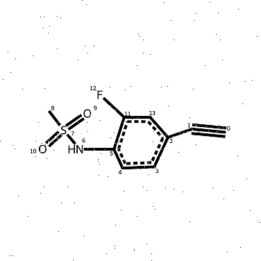 C#Cc1ccc(NS(C)(=O)=O)c(F)c1